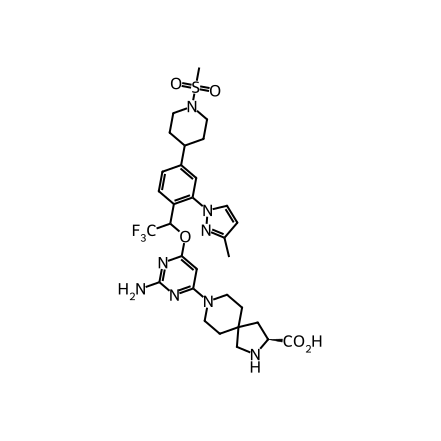 Cc1ccn(-c2cc(C3CCN(S(C)(=O)=O)CC3)ccc2C(Oc2cc(N3CCC4(CC3)CN[C@H](C(=O)O)C4)nc(N)n2)C(F)(F)F)n1